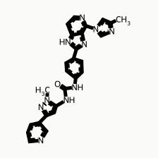 Cc1cn(-c2nccc3[nH]c(-c4ccc(NC(=O)Nc5cc(-c6cccnc6)nn5C)cc4)nc23)cn1